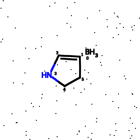 B.C1=CNCC1